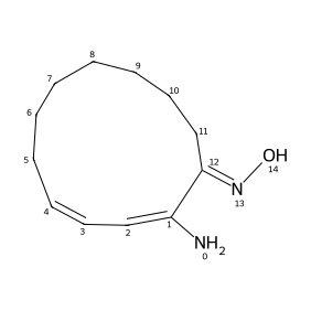 NC1=CC=CCCCCCCCC1=NO